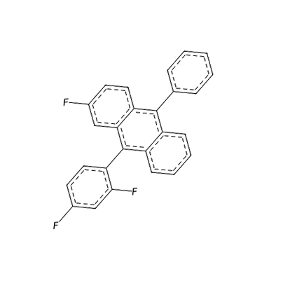 Fc1ccc(-c2c3ccccc3c(-c3ccccc3)c3ccc(F)cc23)c(F)c1